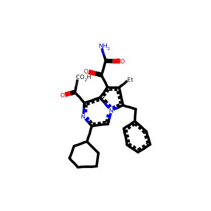 CCc1c(C(=O)C(N)=O)c2c(C(=O)C(=O)O)nc(C3CCCCC3)cn2c1Cc1ccccc1